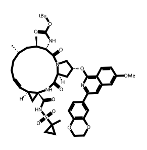 COc1ccc2c(O[C@@H]3C[C@H]4C(=O)N[C@]5(C(=O)NS(=O)(=O)C6(C)CC6)C[C@H]5/C=C\CC[C@H](C)C[C@@H](C)[C@H](NC(=O)OC(C)(C)C)C(=O)N4C3)nc(-c3ccc4c(c3)OCCO4)cc2c1